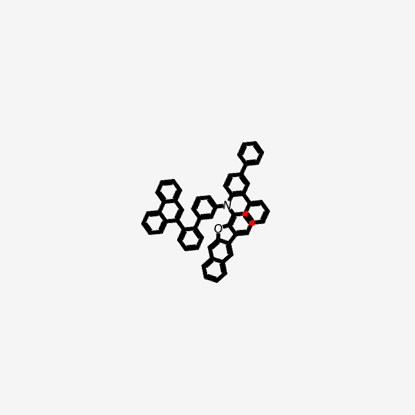 c1ccc(-c2ccc(N(c3cccc(-c4ccccc4-c4cc5ccccc5c5ccccc45)c3)c3cccc4c3oc3cc5ccccc5cc34)c(-c3ccccc3)c2)cc1